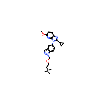 COc1ccc2nc(C3CC3)n(-c3ccc4c(cnn4COCC[Si](C)(C)C)c3)c2n1